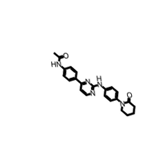 CC(=O)Nc1ccc(-c2ccnc(Nc3ccc(N4CCCCC4=O)cc3)n2)cc1